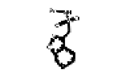 CC(C)NS(=O)(=O)Cc1noc2ccccc12